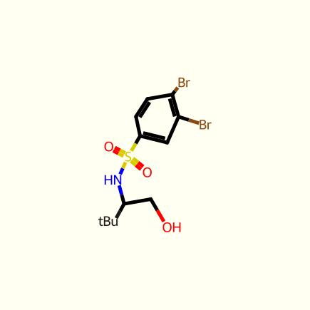 CC(C)(C)C(CO)NS(=O)(=O)c1ccc(Br)c(Br)c1